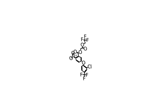 O=C(COC(=O)c1cc(Oc2ccc(C(F)(F)F)cc2Cl)ccc1[N+](=O)[O-])OCC(F)(F)F